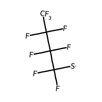 FC(F)(F)C(F)(F)C(F)(F)C(F)(F)[S]